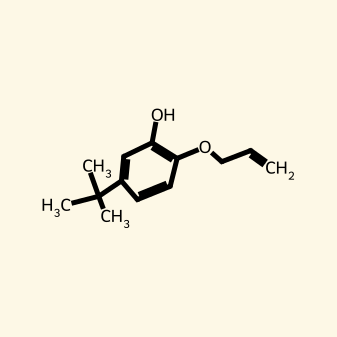 C=CCOc1ccc(C(C)(C)C)cc1O